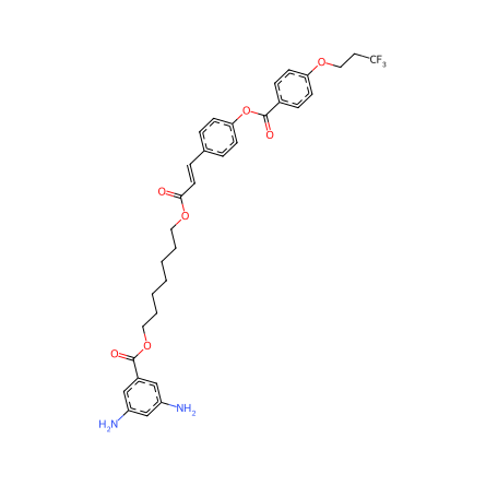 Nc1cc(N)cc(C(=O)OCCCCCCCOC(=O)/C=C/c2ccc(OC(=O)c3ccc(OCCC(F)(F)F)cc3)cc2)c1